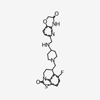 O=C1COc2ccc(CNC3CCN(CC4CCn5c(=O)sc6ccc(F)c4c65)CC3)nc2N1